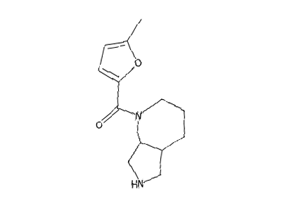 Cc1ccc(C(=O)N2CCCC3CNCC32)o1